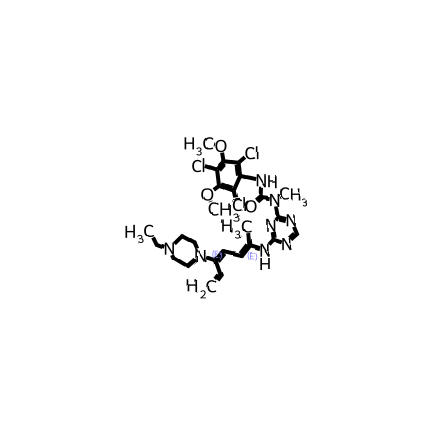 C=C/C(=C\C=C(/C)Nc1ncnc(N(C)C(=O)Nc2c(Cl)c(OC)c(Cl)c(OC)c2Cl)n1)N1CCN(CC)CC1